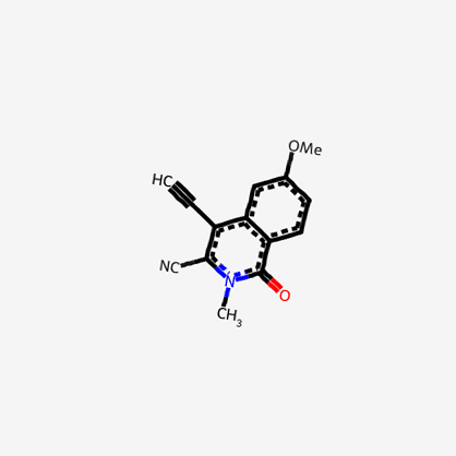 C#Cc1c(C#N)n(C)c(=O)c2ccc(OC)cc12